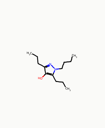 CCCCn1nc(CCC)c(O)c1CCC